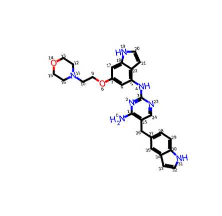 Nc1nc(Nc2cc(OCCN3CCOCC3)cc3[nH]ccc23)ncc1Cc1ccc2[nH]ccc2c1